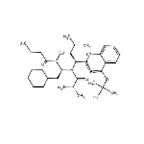 CCCC(=O)C(O)[C@H](CC1CCCCC1)N(C(=O)[C@H](C)N)[C@@H](CC(C)C)C(=O)Nc1ccccc1C(=O)OC(C)(C)C